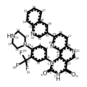 O=c1[nH]c(=O)n(-c2ccc(N3CCNCC3)c(C(F)(F)F)c2)c2c1cnc1ccc(-c3cnc4ccccc4c3)nc12